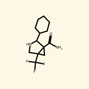 NC(=O)C12CC1(C(F)(F)F)CNC2C1CCCCC1